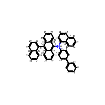 c1ccc(-c2ccc(N(c3cccc4ccccc34)c3c4ccccc4c(-c4cccc5ccccc45)c4ccccc34)cc2)cc1